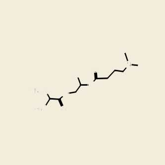 CCCCCCCCCC(CCCCC)C(=O)OCC(Cl)OC(=O)CCCN(C)C